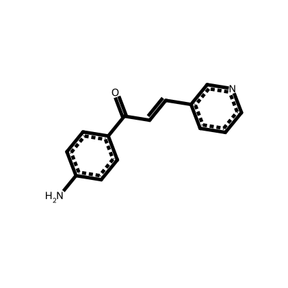 Nc1ccc(C(=O)C=Cc2cccnc2)cc1